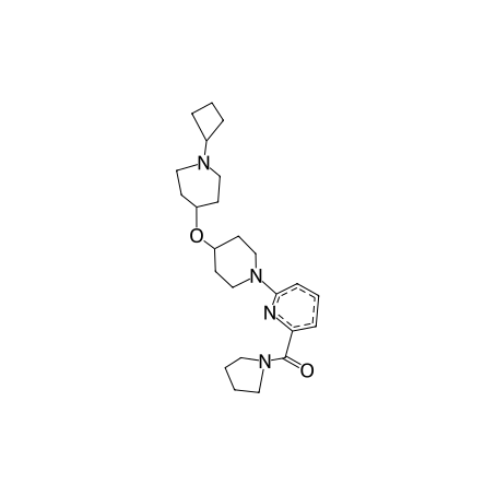 O=C(c1cccc(N2CCC(OC3CCN(C4CCC4)CC3)CC2)n1)N1CCCC1